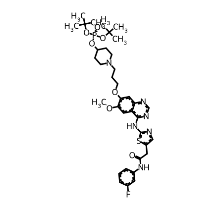 COc1cc2c(Nc3ncc(CC(=O)Nc4cccc(F)c4)s3)ncnc2cc1OCCCN1CCC(OP(=O)(OC(C)(C)C)OC(C)(C)C)CC1